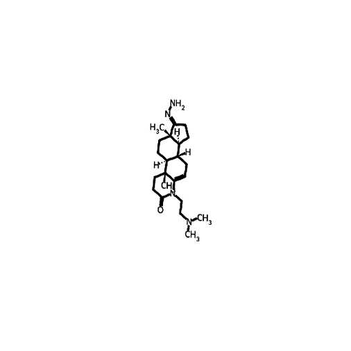 CN(C)CCN1C(=O)CC[C@@]2(C)C1=CC[C@@H]1[C@@H]2CC[C@]2(C)C(=NN)CC[C@@H]12